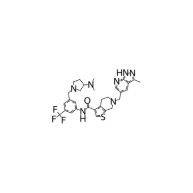 Cc1n[nH]c2ncc(CN3CCc4c(C(=O)Nc5cc(CN6CCC(N(C)C)C6)cc(C(F)(F)F)c5)csc4C3)cc12